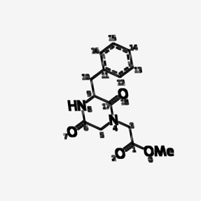 COC(=O)CN1CC(=O)NC(Cc2ccccc2)C1=O